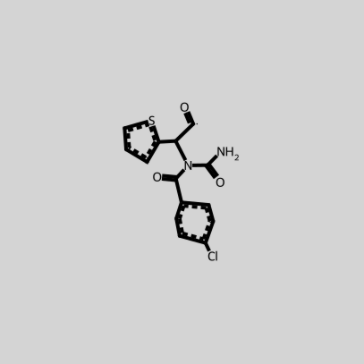 NC(=O)N(C(=O)c1ccc(Cl)cc1)C([C]=O)c1cccs1